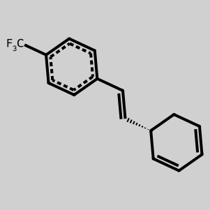 FC(F)(F)c1ccc(/C=C/[C@H]2C=CC=CC2)cc1